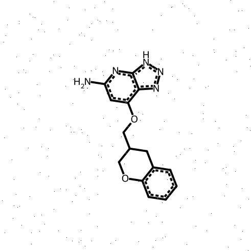 Nc1cc(OCC2COc3ccccc3C2)c2nn[nH]c2n1